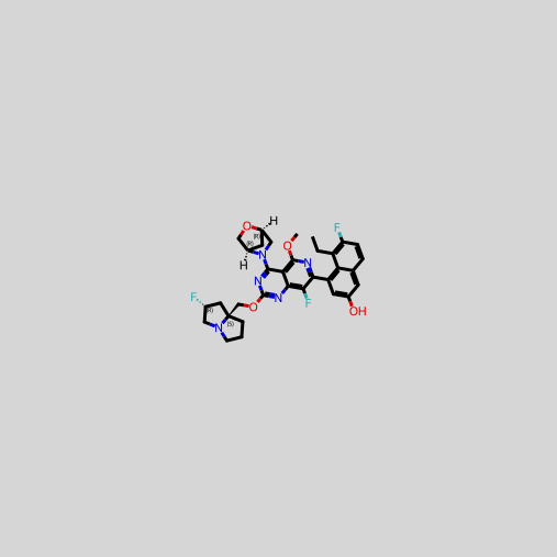 CCc1c(F)ccc2cc(O)cc(-c3nc(OC)c4c(N5C[C@H]6C[C@@H]5CO6)nc(OC[C@@]56CCCN5C[C@H](F)C6)nc4c3F)c12